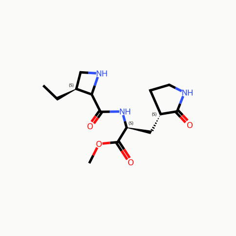 CC[C@H]1CNC1C(=O)N[C@@H](C[C@@H]1CCNC1=O)C(=O)OC